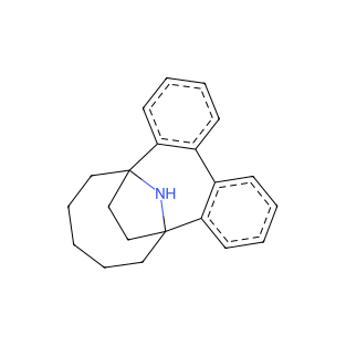 c1ccc2c(c1)-c1ccccc1C13CCCCCC2(CC1)N3